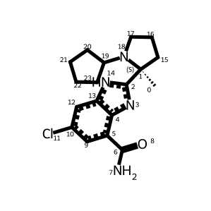 C[C@@]1(c2nc3c(C(N)=O)cc(Cl)cc3[nH]2)CCCN1C1CCCC1